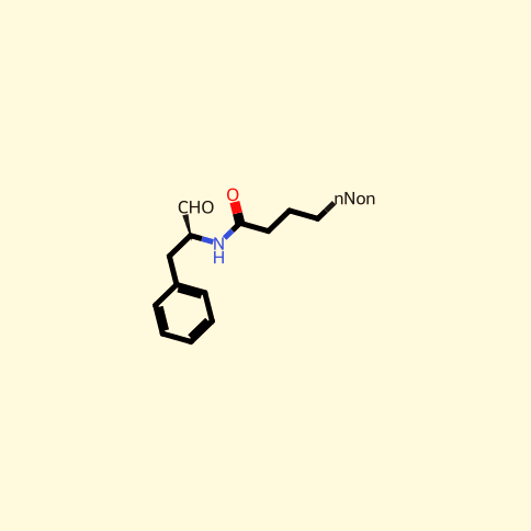 CCCCCCCCCCCCC(=O)N[C@H](C=O)Cc1ccccc1